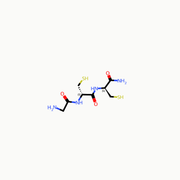 NCC(=O)N[C@H](CS)C(=O)N[C@H](CS)C(N)=O